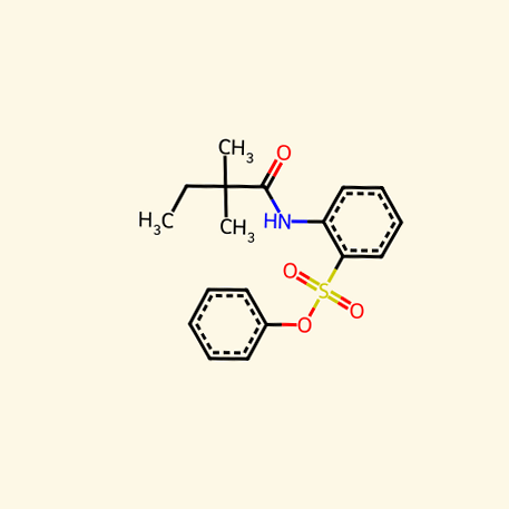 CCC(C)(C)C(=O)Nc1ccccc1S(=O)(=O)Oc1ccccc1